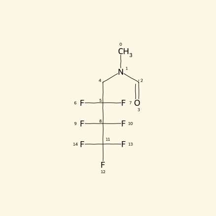 CN([C]=O)CC(F)(F)C(F)(F)C(F)(F)F